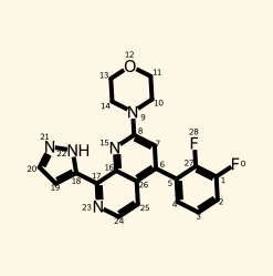 Fc1cccc(-c2cc(N3CCOCC3)nc3c(-c4ccn[nH]4)nccc23)c1F